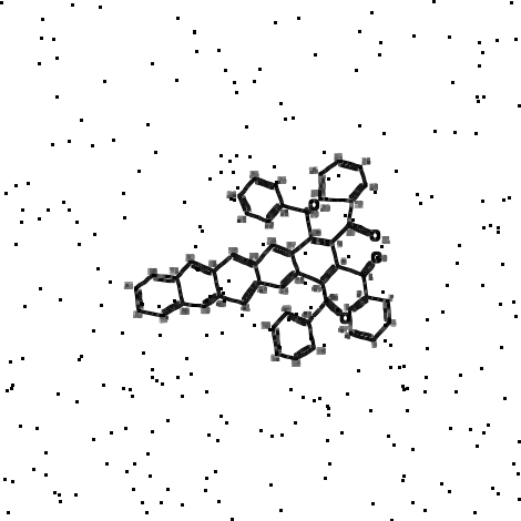 O=C(c1ccccc1)c1c(C(=O)c2ccccc2)c(C(=O)c2ccccc2)c2cc3cc4cc5ccccc5cc4cc3cc2c1C(=O)c1ccccc1